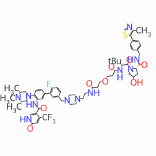 Cc1ncsc1-c1ccc(CNC(=O)[C@@H]2C[C@@H](O)CN2C(=O)[C@@H](NC(=O)CCOCCC(=O)NCCN2CCN(Cc3ccc(F)c(-c4ccc(N5C[C@@H](C)N(C)[C@@H](C)C5)c(NC(=O)c5c[nH]c(=O)cc5C(F)(F)F)c4)c3)CC2)C(C)(C)C)cc1